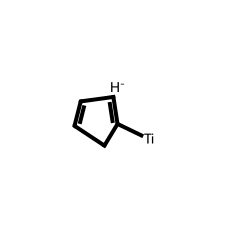 [H-].[Ti][C]1=CC=CC1